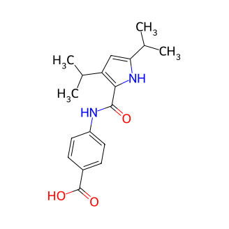 CC(C)c1cc(C(C)C)c(C(=O)Nc2ccc(C(=O)O)cc2)[nH]1